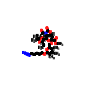 CC[C@H]1OC(C)(C)O[C@H]1C1O[C@@](OCC2O[C@H](OCCCCCN=[N+]=[N-])C(C)[C@@H](C)[C@H]2C)(C(=O)OC)C[C@H]2OC(=O)N(C(C)=O)[C@@H]12